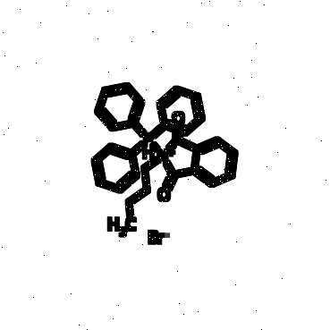 CCCC[N+]1([PH](c2ccccc2)(c2ccccc2)c2ccccc2)C(=O)c2ccccc2C1=O.[Br-]